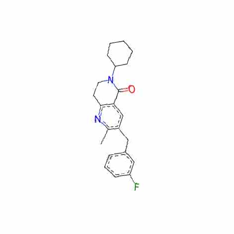 Cc1nc2c(cc1Cc1cccc(F)c1)C(=O)N(C1CCCCC1)CC2